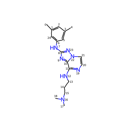 Cc1cc(C)cc(Nc2nc3c(NCCCN(C)C)nccn3n2)c1